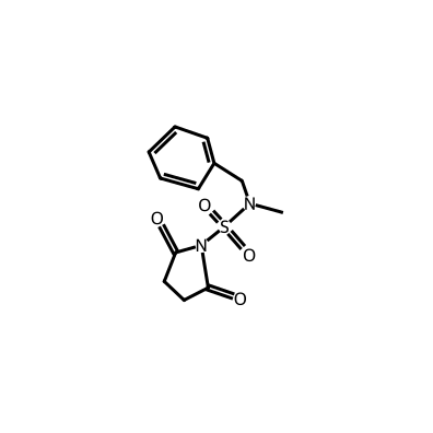 CN(Cc1ccccc1)S(=O)(=O)N1C(=O)CCC1=O